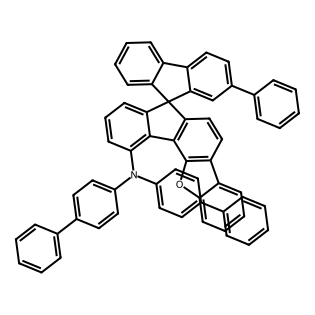 c1ccc(-c2ccc(N(c3ccc(-c4ccccc4)cc3)c3cccc4c3-c3c(ccc5c3oc3ccccc35)C43c4ccccc4-c4ccc(-c5ccccc5)cc43)cc2)cc1